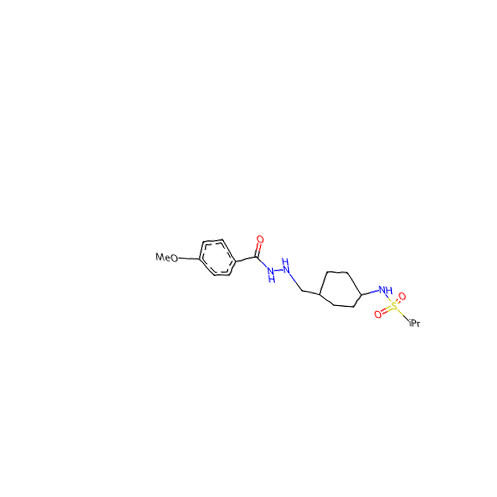 COc1ccc(C(=O)NNCC2CCC(NS(=O)(=O)C(C)C)CC2)cc1